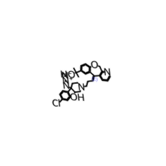 CC(C)(O)c1ccc2c(c1)/C(=C\CCN1CCC(N=[N+]=[N-])(c3ccc(Cl)cc3)C(O)C1)c1cccnc1CO2